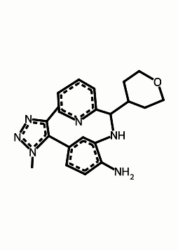 Cc1nnn(C)c1-c1ccc(N)c(NC(c2ccccn2)C2CCOCC2)c1